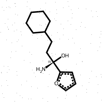 N[C@](O)(CCC1CCCCC1)c1ccco1